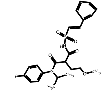 COCCC(C(=O)NS(=O)(=O)C=Cc1ccccc1)C(=O)N(c1ccc(F)cc1)C(C)C